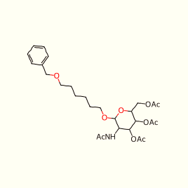 CC(=O)NC1C(OCCCCCCOCc2ccccc2)OC(COC(C)=O)C(OC(C)=O)C1OC(C)=O